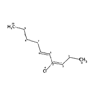 CC/C=C(/Cl)C=CCCCC